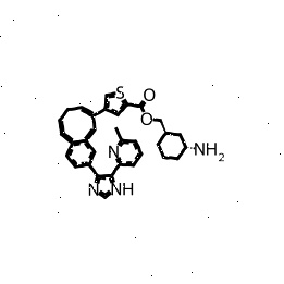 Cc1cccc(-c2[nH]cnc2-c2ccc3/c(c2)=C\C(c2csc(C(=O)OC[C@@H]4CCC[C@@H](N)C4)c2)=C/CC=C=3)n1